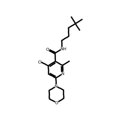 Cc1nc(N2CCOCC2)cc(Cl)c1C(=O)NCCCC(C)(C)C